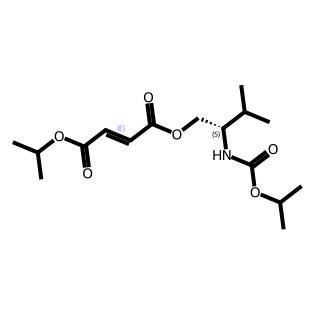 CC(C)OC(=O)/C=C/C(=O)OC[C@@H](NC(=O)OC(C)C)C(C)C